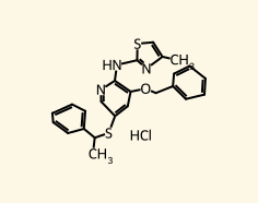 Cc1csc(Nc2ncc(SC(C)c3ccccc3)cc2OCc2ccccc2)n1.Cl